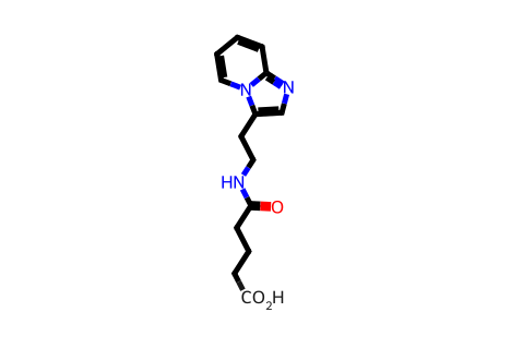 O=C(O)CCCC(=O)NCCc1cnc2ccccn12